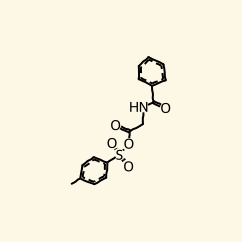 Cc1ccc(S(=O)(=O)OC(=O)CNC(=O)c2ccccc2)cc1